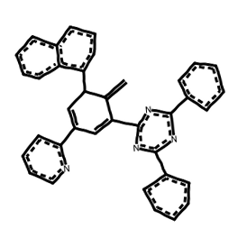 C=C1C(c2nc(-c3ccccc3)nc(-c3ccccc3)n2)=CC(c2ccccn2)=CC1c1cccc2ccccc12